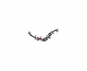 O=C(CCCCCC1CO1)Oc1ccc(C(=O)Oc2ccc3ccc(OC(=O)c4ccc(OC(=O)CCCC5CO5)cc4)cc3c2)cc1